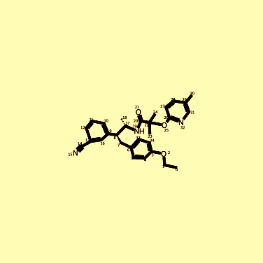 CCOc1ccc(C[C@@H](c2cccc(C#N)c2)[C@H](C)NC(=O)C(C)(C)Oc2ccc(C)cn2)cc1